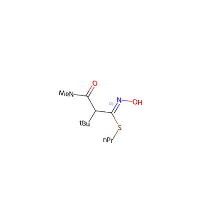 CCCS/C(=N\O)C(C(=O)NC)C(C)(C)C